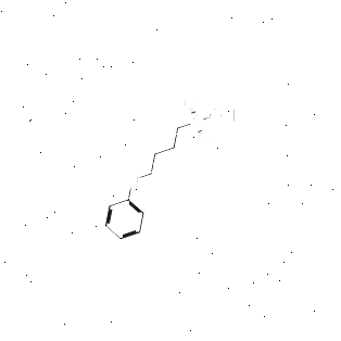 O=S(=O)(O)CCCCOc1cc[c]cc1